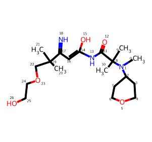 CN(C1CCOCC1)C(C)(C)C(=O)N/C(O)=C/C(=N)C(C)(C)COCCO